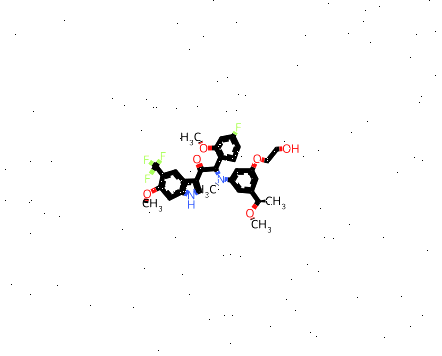 COc1cc(F)ccc1C(C(=O)c1c[nH]c2cc(OC)c(C(F)(F)F)cc12)N(C)c1cc(OCCO)cc([C@@H](C)OC)c1